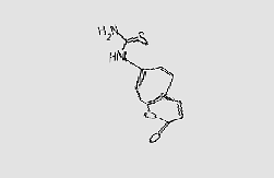 NC(=S)Nc1ccc2ccc(=O)oc2c1